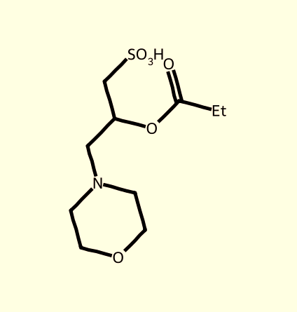 CCC(=O)OC(CN1CCOCC1)CS(=O)(=O)O